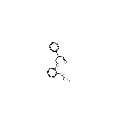 COc1ccccc1OCC(C=O)c1ccccc1